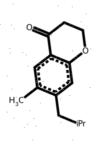 Cc1cc2c(cc1CC(C)C)OCCC2=O